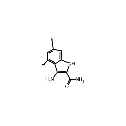 NC(=O)c1[nH]c2cc(Br)cc(F)c2c1N